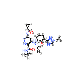 [2H]C([2H])([2H])NC(=O)c1nnc(NC(=O)C2CC2)cc1Nc1cccc(-c2ncn(C3CC3)n2)c1OC